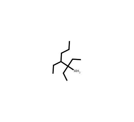 CCCC(CC)[C]([AlH2])(CC)CC